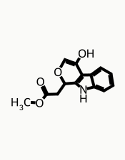 COC(=O)CC1OC=C(O)c2c1[nH]c1ccccc21